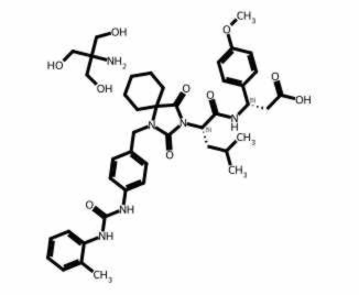 COc1ccc([C@H](CC(=O)O)NC(=O)[C@H](CC(C)C)N2C(=O)N(Cc3ccc(NC(=O)Nc4ccccc4C)cc3)C3(CCCCC3)C2=O)cc1.NC(CO)(CO)CO